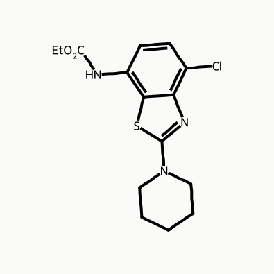 CCOC(=O)Nc1ccc(Cl)c2nc(N3CCCCC3)sc12